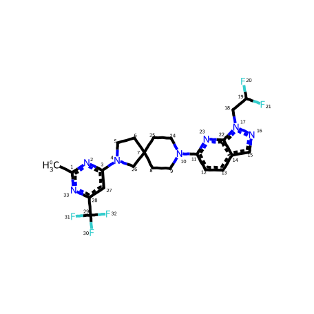 Cc1nc(N2CCC3(CCN(c4ccc5cnn(CC(F)F)c5n4)CC3)C2)cc(C(F)(F)F)n1